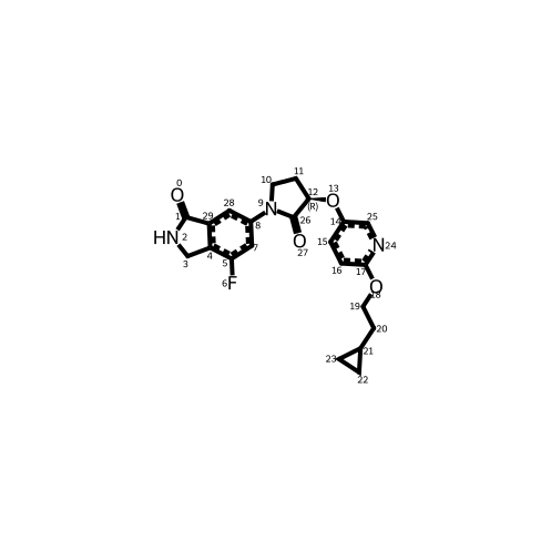 O=C1NCc2c(F)cc(N3CC[C@@H](Oc4ccc(OCCC5CC5)nc4)C3=O)cc21